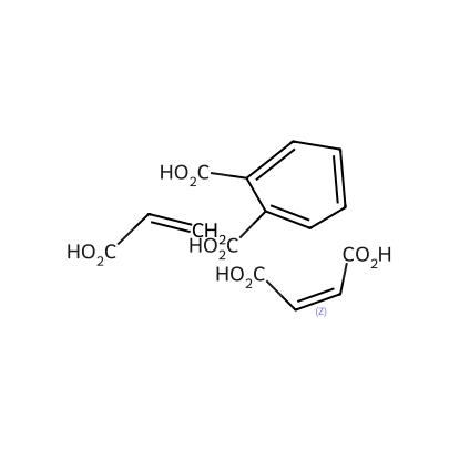 C=CC(=O)O.O=C(O)/C=C\C(=O)O.O=C(O)c1ccccc1C(=O)O